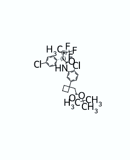 C[C@H]([C@H](C(=O)Nc1cc(C2(CC(=O)OC(C)(C)C)CCC2)ccc1Cl)c1ccc(Cl)cc1)C(F)(F)F